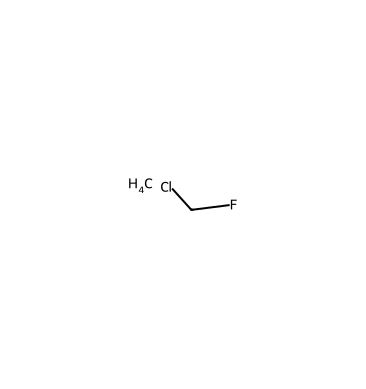 C.FCCl